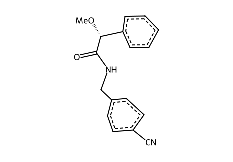 CO[C@@H](C(=O)NCc1ccc(C#N)cc1)c1ccccc1